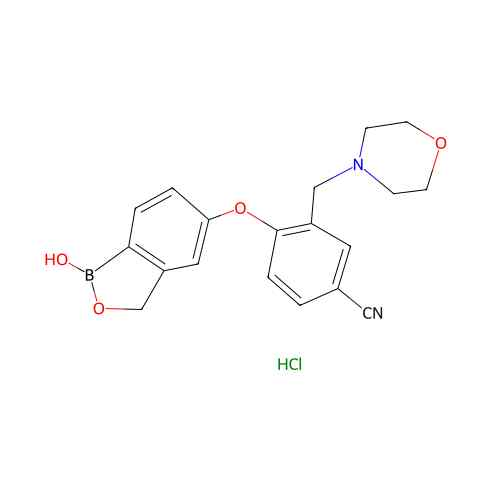 Cl.N#Cc1ccc(Oc2ccc3c(c2)COB3O)c(CN2CCOCC2)c1